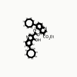 CCOC(=O)c1cnc2ccc(C3CCCCCCC3)cc2c1OC(=O)c1cnc2ccc(C3CCCCCCC3)cc2c1O